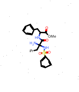 COC(=O)C(Cc1ccccc1)NC(=O)C(N)(CC(C)C)NS(=O)(=O)c1ccccc1